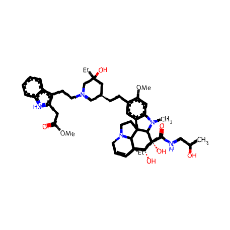 CCC1(O)C[C@@H](CCc2cc3c(cc2OC)N(C)C2C34CCN3CC=C[C@](CC)(C34)[C@@H](O)[C@]2(O)C(=O)NCC(C)O)CN(CCc2c(CC(=O)OC)[nH]c3ccccc23)C1